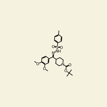 COc1ccc(C(=NNS(=O)(=O)c2ccc(C)cc2)C2CCN(C(=O)OC(C)(C)C)CC2)cc1OC